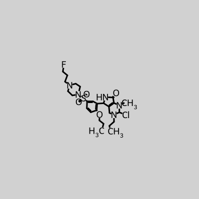 CCCOc1ccc(S(=O)(=O)N2CCN(CCCF)CC2)cc1C1NC(=O)C2=C1CN(CCC)C(Cl)N2C